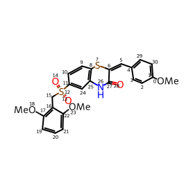 COc1ccc(C=C2Sc3ccc(S(=O)(=O)Cc4c(OC)cccc4OC)cc3NC2=O)cc1